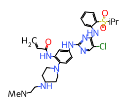 C=CC(=O)Nc1cc(Nc2ncc(Cl)c(Nc3ccccc3S(=O)(=O)C(C)C)n2)ccc1N1CCC(NCCNC)CC1